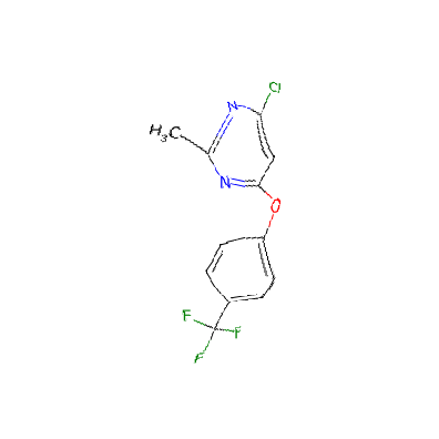 Cc1nc(Cl)cc(Oc2ccc(C(F)(F)F)cc2)n1